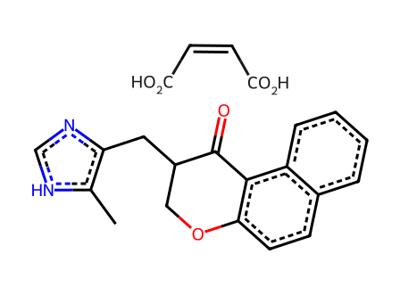 Cc1[nH]cnc1CC1COc2ccc3ccccc3c2C1=O.O=C(O)/C=C\C(=O)O